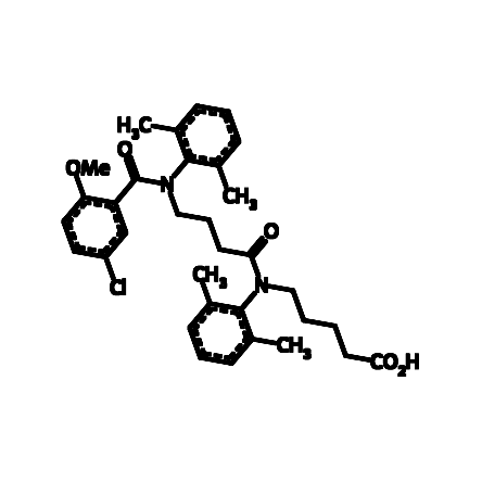 COc1ccc(Cl)cc1C(=O)N(CCCC(=O)N(CCCCC(=O)O)c1c(C)cccc1C)c1c(C)cccc1C